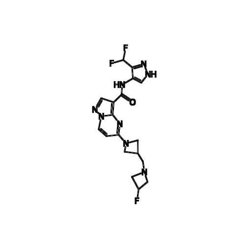 O=C(Nc1c[nH]nc1C(F)F)c1cnn2ccc(N3CC(CN4CC(F)C4)C3)nc12